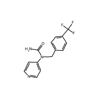 NC(=O)N(Cc1ccc(C(F)(F)F)cc1)c1ccncc1